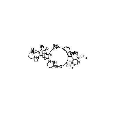 CCn1c(-c2cccnc2[C@H](C)OC)c2c3cc(ccc31)-c1csc(n1)C[C@H](NC(=O)[C@H](C(C)C)N(C)C(=O)N1CC[C@]13CCCNC3)C(=O)N1CCC[C@](C=O)(COCC(C)(C)C2)N1